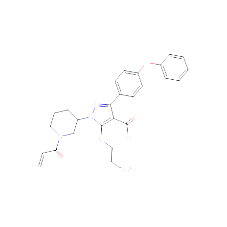 C=CC(=O)N1CCCC(n2nc(-c3ccc(Oc4ccccc4)cc3)c(C(N)=O)c2NCCNC)C1